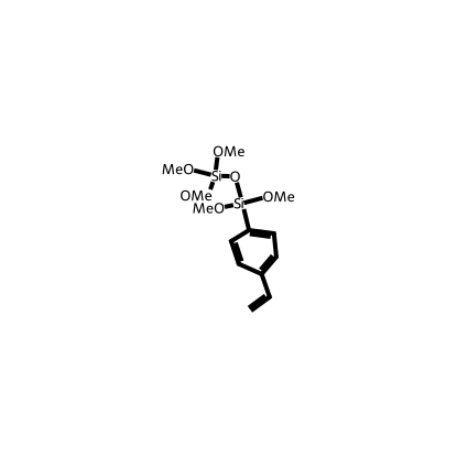 C=Cc1ccc([Si](OC)(OC)O[Si](OC)(OC)OC)cc1